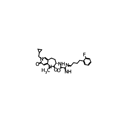 CN1C(=O)[C@@H](NC(=O)C(=N)/N=C/CCCc2ccccc2F)CCc2cn(CC3CC3)c(=O)cc21